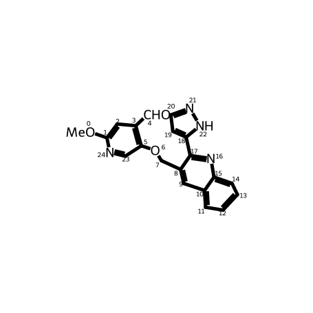 COc1cc(C=O)c(OCc2cc3ccccc3nc2-c2ccn[nH]2)cn1